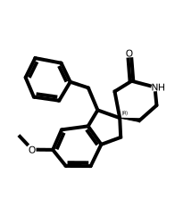 COc1ccc2c(c1)C(Cc1ccccc1)[C@@]1(CCNC(=O)C1)C2